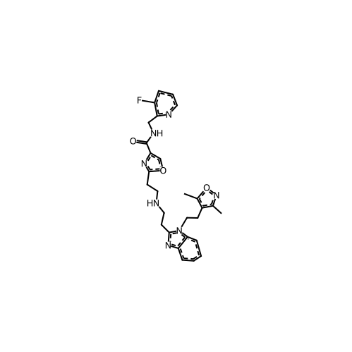 Cc1noc(C)c1CCn1c(CCNCCc2nc(C(=O)NCc3ncccc3F)co2)nc2ccccc21